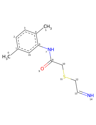 Cc1ccc(C)c(NC(=O)CSCC=N)c1